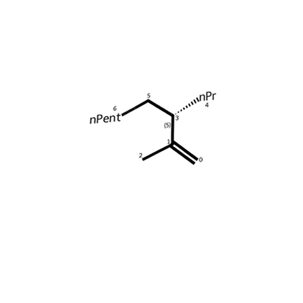 C=C(C)[C@@H](CCC)CCCCCC